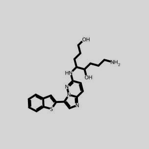 NCCCC(O)C(CCCO)Nc1ccc2ncc(-c3cc4ccccc4s3)n2n1